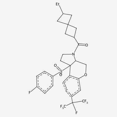 CCC1CC2(C1)CC(C(=O)N1CCC3(S(=O)(=O)c4ccc(F)cc4)c4ccc(C(F)(C(F)(F)F)C(F)(F)F)cc4OCC13)C2